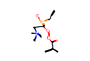 C=CC/[P+]([O-])=C(/C[N+](C)(C)C)OOC(=O)C(=C)C